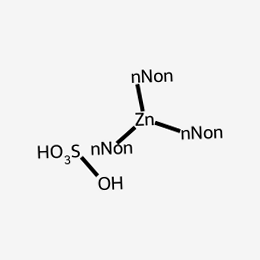 CCCCCCCC[CH2][Zn]([CH2]CCCCCCCC)[CH2]CCCCCCCC.O=S(=O)(O)O